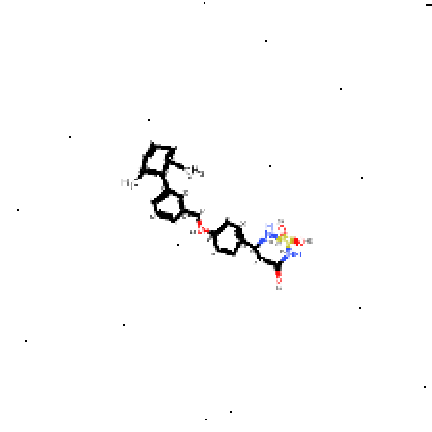 Cc1cccc(C)c1-c1cccc(COc2ccc(C3CC(=O)NS(=O)(=O)N3)cc2)c1